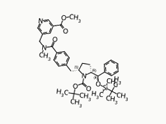 COC(=O)c1cncc(CN(C)C(=O)c2ccc(C[C@@H]3CC[C@H]([C@H](O[Si](C)(C)C(C)(C)C)c4ccccc4)N3C(=O)OC(C)(C)C)cc2)c1